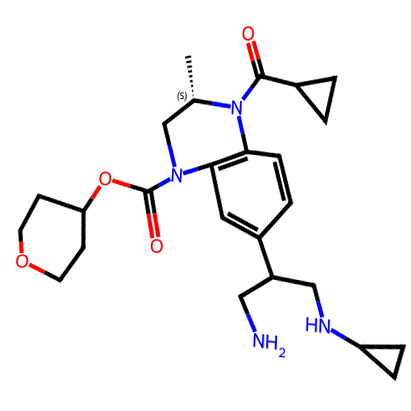 C[C@H]1CN(C(=O)OC2CCOCC2)c2cc(C(CN)CNC3CC3)ccc2N1C(=O)C1CC1